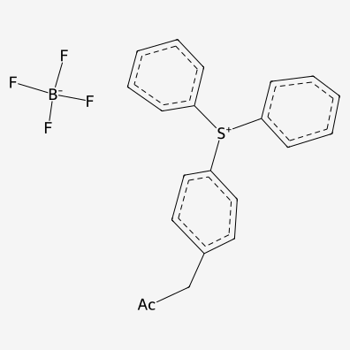 CC(=O)Cc1ccc([S+](c2ccccc2)c2ccccc2)cc1.F[B-](F)(F)F